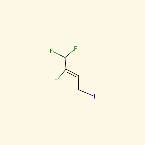 FC(=CCI)C(F)F